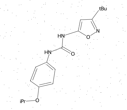 CC(C)Oc1ccc(NC(=O)Nc2cc(C(C)(C)C)no2)cc1